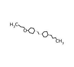 CCCCO[C@H]1CC[C@H](CC[C@H]2CC[C@H](CCCC)CC2)CC1